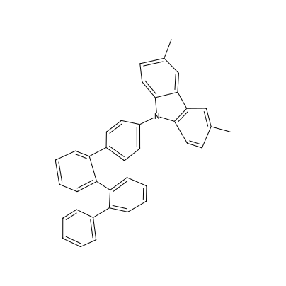 Cc1ccc2c(c1)c1cc(C)ccc1n2-c1ccc(-c2ccccc2-c2ccccc2-c2ccccc2)cc1